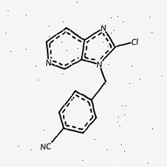 N#Cc1ccc(Cn2c(Cl)nc3ccncc32)cc1